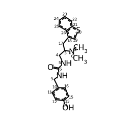 CN(C)C(CNC(=O)NCc1ccc(O)cc1)Cc1csc2ccccc12